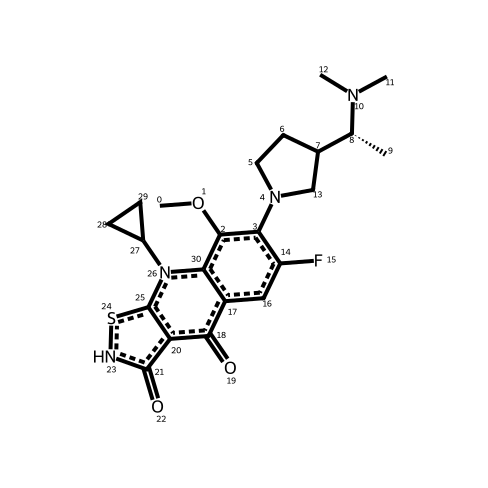 COc1c(N2CCC([C@@H](C)N(C)C)C2)c(F)cc2c(=O)c3c(=O)[nH]sc3n(C3CC3)c12